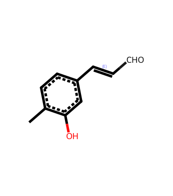 Cc1ccc(/C=C/C=O)cc1O